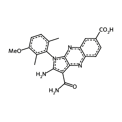 COc1ccc(C)c(-n2c(N)c(C(N)=O)c3nc4ccc(C(=O)O)cc4nc32)c1C